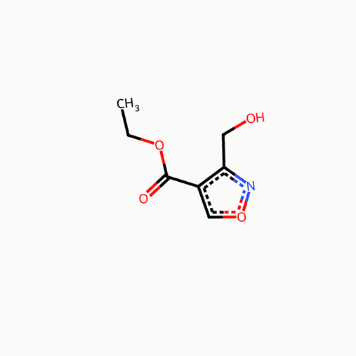 CCOC(=O)c1conc1CO